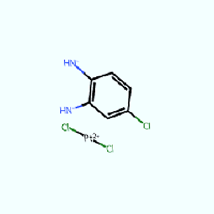 [Cl][Pt+2][Cl].[NH-]c1ccc(Cl)cc1[NH-]